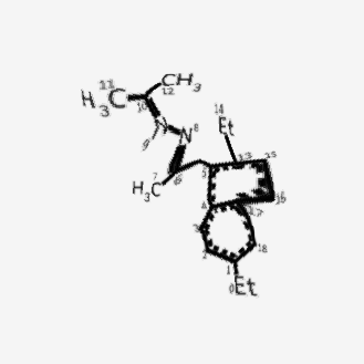 CCc1ccc2c(/C(C)=N/N=C(C)C)c(CC)ccc2c1